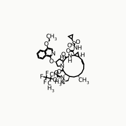 CCOc1cnc(O[C@@H]2C[C@H]3C(=O)N[C@]4(C(=O)NS(=O)(=O)C5CC5)C[C@H]4/C=C\CC[C@H](C)C[C@@H](CC)[C@H](NC(=O)OC(C)(C)C(F)(F)F)C(=O)N3C2)c2ccccc12